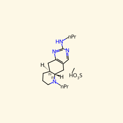 CCCNc1ncc2c(n1)C[C@@H]1CCCN(CCC)[C@H]1C2.CS(=O)(=O)O